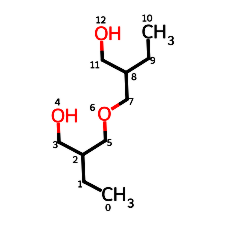 CCC(CO)COCC(CC)CO